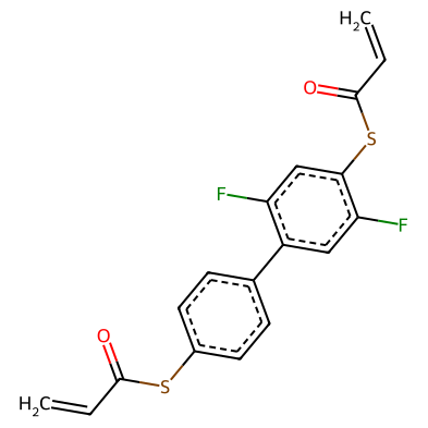 C=CC(=O)Sc1ccc(-c2cc(F)c(SC(=O)C=C)cc2F)cc1